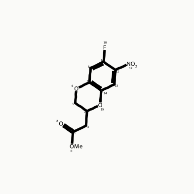 COC(=O)CC1COc2cc(F)c([N+](=O)[O-])cc2O1